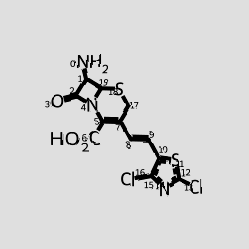 NC1C(=O)N2C(C(=O)O)=C(C=Cc3sc(Cl)nc3Cl)CSC12